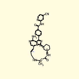 C[C@@H]1CC(=O)N[C@@H]2CCC[C@H](C2)c2nc(-c3ccc(C(=O)Nc4cc(C#N)ccn4)cc3)c3c(N)ncc(n23)/C=C/CCN1